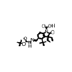 CCC1(CC)C(=O)N(C(=O)O)c2ccc(/C=N/NC(=O)OC(C)(C)C)c(C(C)(C)C)c21